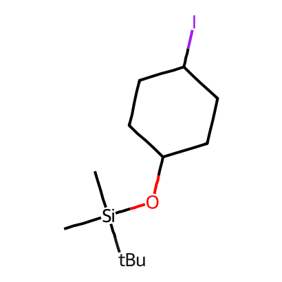 CC(C)(C)[Si](C)(C)OC1CCC(I)CC1